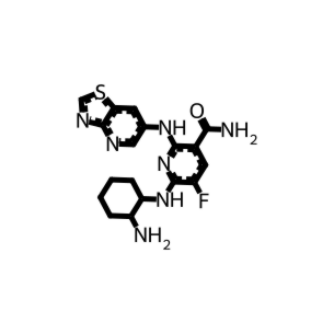 NC(=O)c1cc(F)c(NC2CCCCC2N)nc1Nc1cnc2ncsc2c1